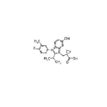 Cc1cc(-n2c(C(C)C)c(CC3(C(=O)O)CC3)c3cc(O)ccc32)ccc1F